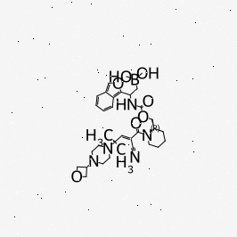 CC(C)(C=C(C#N)C(=O)N1CCCC[C@@H]1COC(=O)NC(CB(O)O)c1occ2ccccc12)N1CCN(C2COC2)CC1